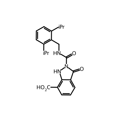 CC(C)c1cccc(C(C)C)c1CNC(=O)n1[nH]c2c(C(=O)O)cccc2c1=O